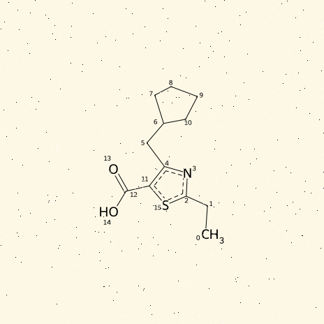 CCc1nc(CC2CCCC2)c(C(=O)O)s1